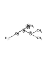 CCCCCCCCCOC(=O)CCCCCCCN(CCCNC(=O)C[S+](C)[O-])C(=O)CCCCCCC(=O)OC(CCCCCCCC)CCCCCCCC